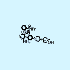 COc1cc(N2CCC(N3CC[PH](C)(O)CC3)CC2)ccc1-c1c(Nc2ccccc2S(=O)(=O)C(C)C)cnnc1N